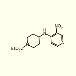 CCOC(=O)N1CCC(Nc2ccncc2[N+](=O)[O-])CC1